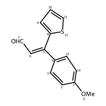 COc1ccc(/C(=C/C=O)c2cccs2)cc1